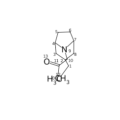 CCC1CC2CCC(C1)N2CC(C)=O